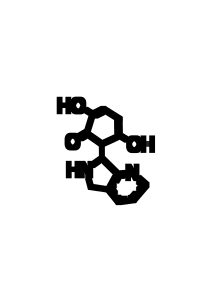 O=C1C(O)=CC=C(O)C1C1NCc2cccnc21